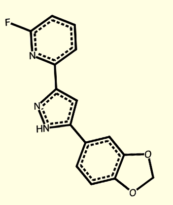 Fc1cccc(-c2cc(-c3ccc4c(c3)OCO4)[nH]n2)n1